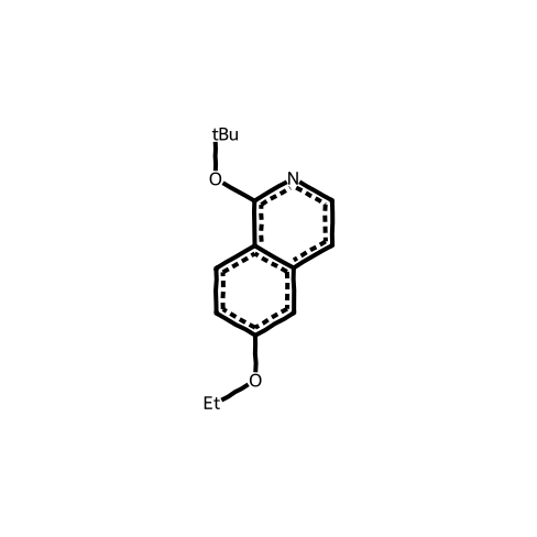 CCOc1ccc2c(OC(C)(C)C)nccc2c1